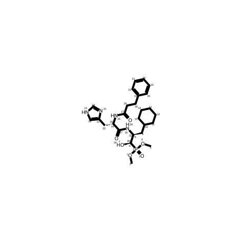 COP(=O)(OC)[C@@H](O)[C@H](CC1CCCCC1)NC(=O)[C@H](Cc1c[nH]cn1)NC(=O)CCc1ccccc1